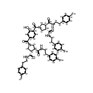 O=C(NCCc1ccc(F)cc1)[C@@H]1CN(C(=O)c2ccc(C(=O)N3C[C@@H](C(=O)NCCc4ccc(F)cc4)[C@H](C(=O)NCCc4ccc(F)cc4)C3)c(O)c2)C[C@H]1C(=O)NCCc1ccc(F)cc1